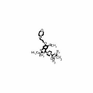 COc1cc2c(N3CCN(C(O)OC(C)(C)C)CC3)nc(N(C)C)nc2cc1OCCCN1CCOCC1